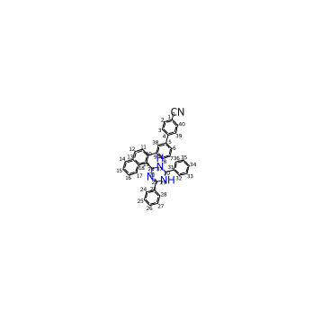 N#Cc1ccc(-c2cccc(-c3ccc4ccccc4c3C3N=C(c4ccccc4)NC(c4ccccc4)N3)c2)cc1